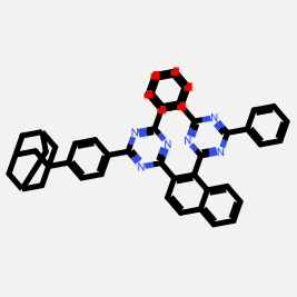 c1ccc(-c2nc(-c3ccc(C45CC6CC(CC(C6)C4)C5)cc3)nc(-c3ccc4ccccc4c3-c3nc(-c4ccccc4)nc(-c4ccccc4)n3)n2)cc1